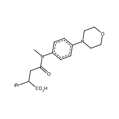 CC(C)C(CC(=O)N(C)c1ccc(N2CCOCC2)cc1)C(=O)O